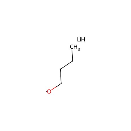 CCCC[O].[LiH]